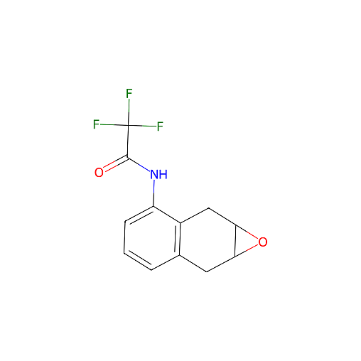 O=C(Nc1cccc2c1CC1OC1C2)C(F)(F)F